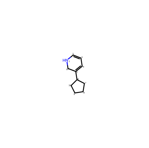 [C]1NC=CC=C1C1CCCC1